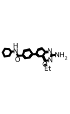 CCOc1nc(N)nc2ccc(-c3ccc(C(=O)NC4CCCCC4)cc3)cc12